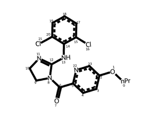 CCCOc1ccc(C(=O)N2CCN=C2Nc2c(Cl)cccc2Cl)nc1